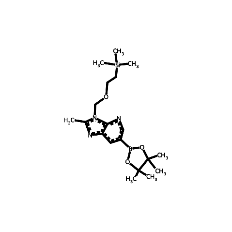 Cc1nc2cc(B3OC(C)(C)C(C)(C)O3)cnc2n1COCC[Si](C)(C)C